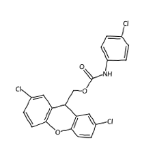 O=C(Nc1ccc(Cl)cc1)OCC1c2cc(Cl)ccc2Oc2ccc(Cl)cc21